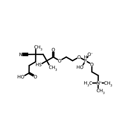 CC(C#N)(CCC(=O)O)CC(C)(S)C(=O)OCCO[PH]([O-])(O)OCC[N+](C)(C)C